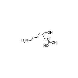 NCCCCC(CO)COP(O)O